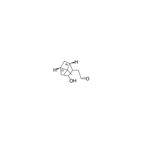 CC1(C)[C@@H]2CC(O)C(CC=O)[C@H]1C2